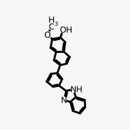 COc1cc2cc(-c3cccc(-c4nc5ccccc5[nH]4)c3)ccc2cc1O